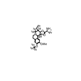 [2H]C([2H])([2H])Oc1cc2c(cc1OC)C1([2H])N(CC2)C([2H])([2H])C([2H])(CC(C)C)C(OC(=O)[C@@H](N)C(C)C)C1([2H])[2H]